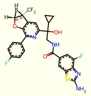 Nc1nc2c(F)cc(C(=O)NCC(O)(c3cc4c(c(-c5ccc(F)cc5)n3)O[C@@H]3B[C@@]43C(F)(F)F)C3CC3)cc2s1